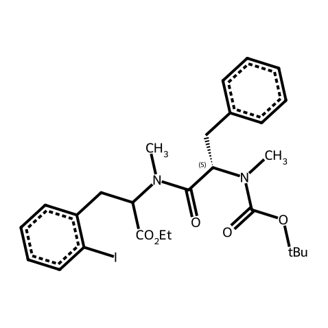 CCOC(=O)C(Cc1ccccc1I)N(C)C(=O)[C@H](Cc1ccccc1)N(C)C(=O)OC(C)(C)C